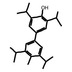 Cc1c(C(C)C)cc(-c2cc(C(C)C)c(O)c(C(C)C)c2)cc1C(C)C